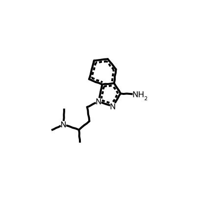 CC(CCn1nc(N)c2ccccc21)N(C)C